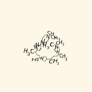 CC(CCC(S)N1CCC(C(C)CCC(C)N2CCN(C(C)C)CC2)CC1)c1ccc(N2CCN(C(C)C)CC2)nn1